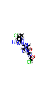 Cc1nc(CNc2n[nH]c3cc(Cl)c(C(C)(C)C)cc23)n(C(C)C)c1C(=O)NC1CN(C(=O)C=CCl)C1